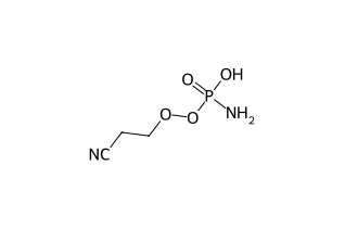 N#CCCOOP(N)(=O)O